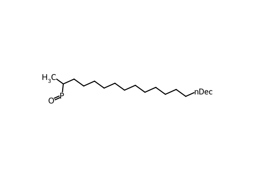 CCCCCCCCCCCCCCCCCCCCCCC(C)P=O